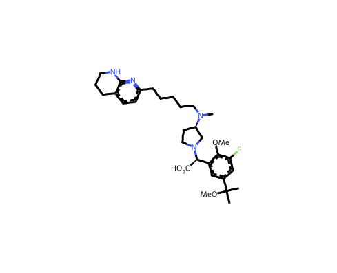 COc1c(F)cc(C(C)(C)OC)cc1[C@@H](C(=O)O)N1CC[C@@H](N(C)CCCCCc2ccc3c(n2)NCCC3)C1